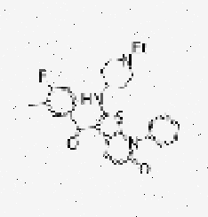 CCN1CCC(Nc2sc3c(ccc(=O)n3-c3ccccc3)c2C(=O)c2ccc(F)c(C)c2)CC1